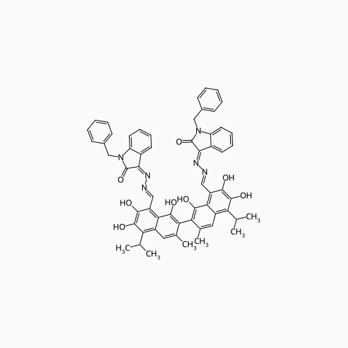 Cc1cc2c(C(C)C)c(O)c(O)c(/C=N/N=C3\C(=O)N(Cc4ccccc4)c4ccccc43)c2c(O)c1-c1c(C)cc2c(C(C)C)c(O)c(O)c(/C=N/N=C3/C(=O)N(Cc4ccccc4)c4ccccc43)c2c1O